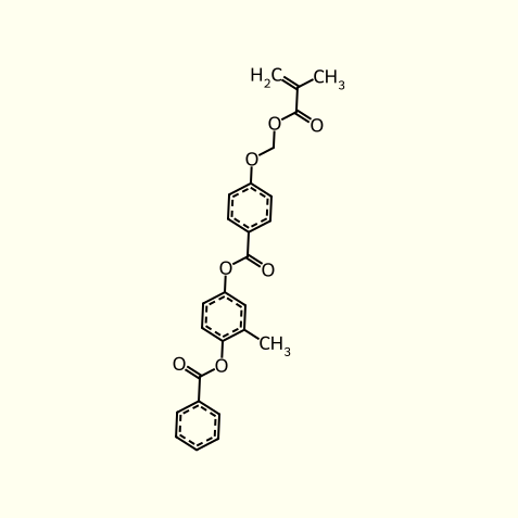 C=C(C)C(=O)OCOc1ccc(C(=O)Oc2ccc(OC(=O)c3ccccc3)c(C)c2)cc1